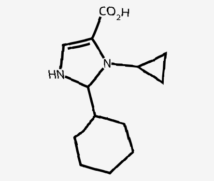 O=C(O)C1=CNC(C2CCCCC2)N1C1CC1